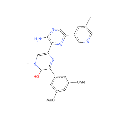 COc1cc(OC)cc(C2=NC(c3nc(-c4cncc(C)c4)cnc3N)=CN(C)C2O)c1